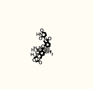 Bc1cc(CN2CCOCC2=O)c(B)c(B)c1C(B)(B)Oc1cccc2c1CN(C1CCC(=O)NC1=O)C2=O